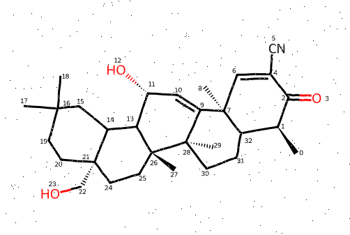 C[C@@H]1C(=O)C(C#N)=C[C@]2(C)C3=C[C@@H](O)C4C5CC(C)(C)CC[C@]5(CO)CC[C@@]4(C)[C@]3(C)CCC12